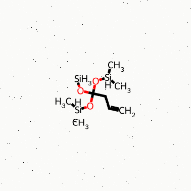 C=CCC(O[SiH3])(O[SiH](C)C)O[SiH](C)C